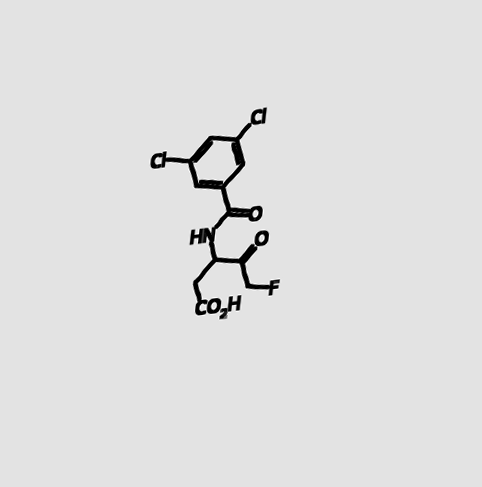 O=C(O)CC(NC(=O)c1cc(Cl)cc(Cl)c1)C(=O)CF